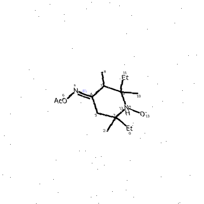 CCC1(C)C/C(=N\OC(C)=O)C(C)C(C)(CC)[NH+]1[O-]